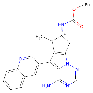 CC1c2c(-c3cnc4ccccc4c3)c3c(N)ncnn3c2C[C@H]1NC(=O)OC(C)(C)C